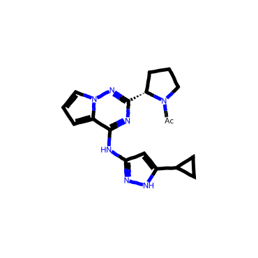 CC(=O)N1CCC[C@H]1c1nc(Nc2cc(C3CC3)[nH]n2)c2cccn2n1